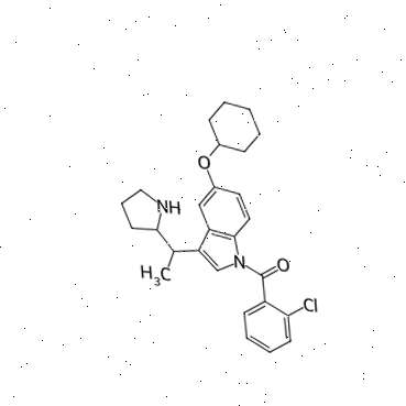 CC(c1cn(C(=O)c2ccccc2Cl)c2ccc(OC3CCCCC3)cc12)C1CCCN1